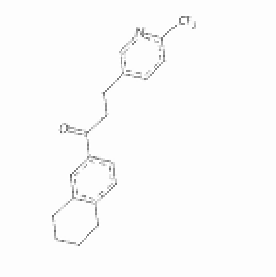 O=C(CCc1ccc(C(F)(F)F)nc1)c1ccc2c(c1)CCCC2